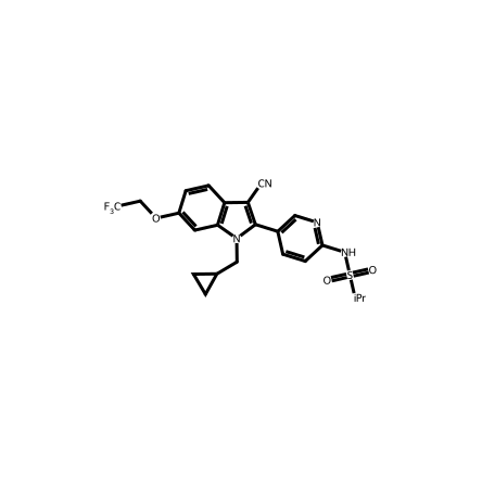 CC(C)S(=O)(=O)Nc1ccc(-c2c(C#N)c3ccc(OCC(F)(F)F)cc3n2CC2CC2)cn1